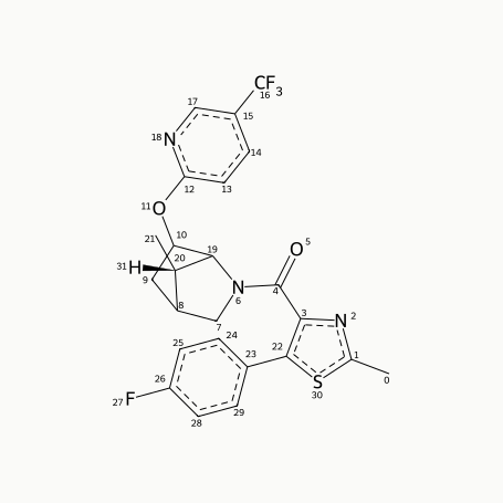 Cc1nc(C(=O)N2CC3CC(Oc4ccc(C(F)(F)F)cn4)C2[C@H]3C)c(-c2ccc(F)cc2)s1